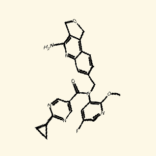 COc1ncc(F)cc1N(Cc1ccc2c3c(c(N)nc2c1)COC3)C(=O)c1cnc(C2CC2)nc1